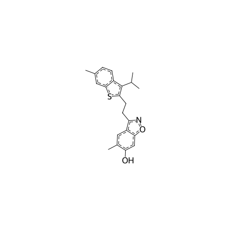 Cc1ccc2c(C(C)C)c(CCc3noc4cc(O)c(C)cc34)sc2c1